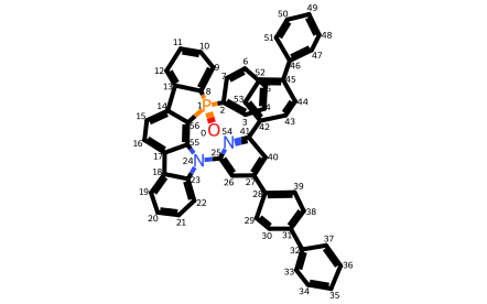 O=P1(c2ccccc2)c2ccccc2-c2ccc3c4ccccc4n(-c4cc(-c5ccc(-c6ccccc6)cc5)cc(-c5ccc(-c6ccccc6)cc5)n4)c3c21